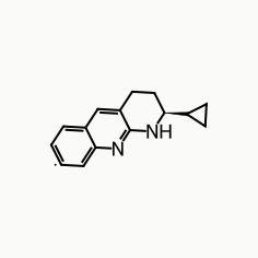 [c]1ccc2cc3c(nc2c1)N[C@H](C1CC1)CC3